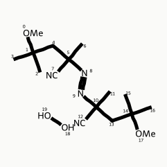 COC(C)(C)CC(C)(C#N)N=NC(C)(C#N)CC(C)(C)OC.OO